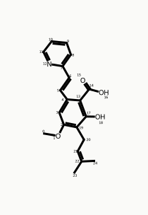 COc1cc(/C=C/c2ccccn2)c(C(=O)O)c(O)c1CC=C(C)C